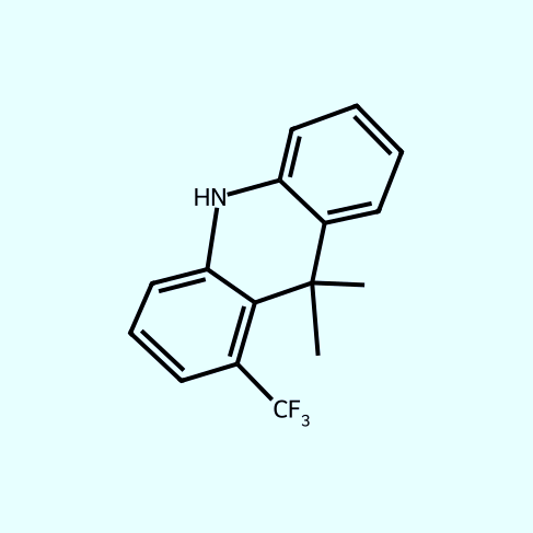 CC1(C)c2ccccc2Nc2cccc(C(F)(F)F)c21